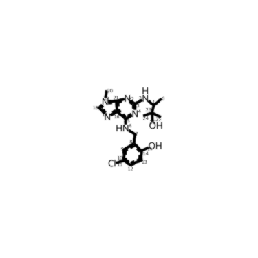 CC(Nc1nc(NCc2cc(Cl)ccc2O)c2ncn(C)c2n1)C(C)(C)O